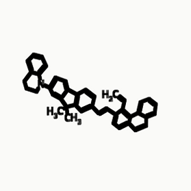 C=Cc1c(/C=C/c2ccc3c(c2)C(C)(C)c2cc(N4CCCc5ccccc54)ccc2-3)ccc2ccc3ccccc3c12